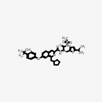 CC(C)c1ccc(C[C@@H](NC(=O)c2cc3ccc(Oc4ccc(C(C)(C)C)cc4)cc3c(CC3CCCC3)n2)C(=O)NS(C)(=O)=O)s1